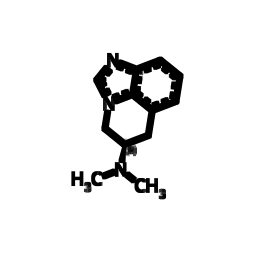 CN(C)[C@@H]1Cc2cccc3ncn(c23)C1